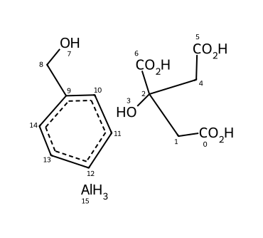 O=C(O)CC(O)(CC(=O)O)C(=O)O.OCc1ccccc1.[AlH3]